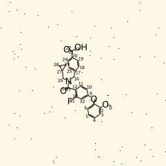 COc1ccccc1Oc1ccc(C(=O)N(Cc2ccc(C(=O)O)cc2)CC2CC2)c(F)c1